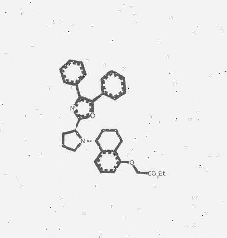 CCOC(=O)COc1cccc2c1CCC[C@H]2N1CCC[C@H]1c1nc(-c2ccccc2)c(-c2ccccc2)o1